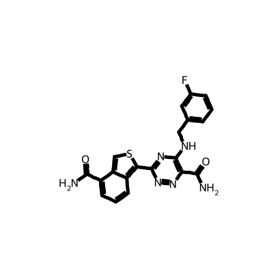 NC(=O)c1nnc(-c2scc3c(C(N)=O)cccc23)nc1NCc1cccc(F)c1